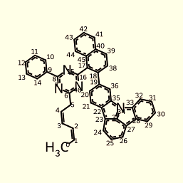 C/C=C\C=C/Cc1nc(-c2ccccc2)nc(-c2c(-c3ccc4c5cccc6c7ccccc7n(c4c3)c65)ccc3ccccc23)n1